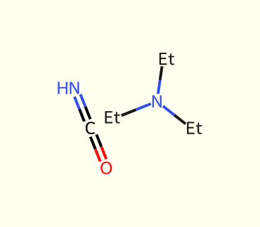 CCN(CC)CC.N=C=O